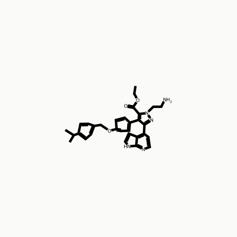 CCOC(=O)c1c(-c2ccc(OCc3ccc(C(C)C)cc3)cc2)c(-c2ccnc3[nH]ccc23)nn1CCN